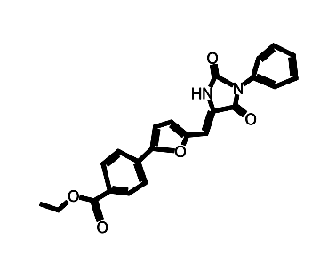 CCOC(=O)c1ccc(-c2ccc(/C=C3\NC(=O)N(c4ccccc4)C3=O)o2)cc1